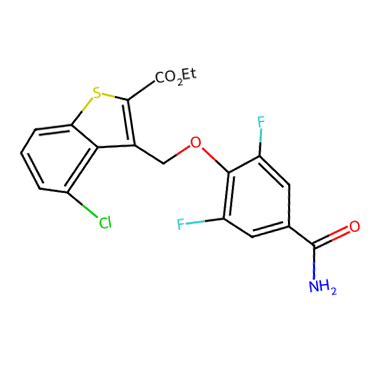 CCOC(=O)c1sc2cccc(Cl)c2c1COc1c(F)cc(C(N)=O)cc1F